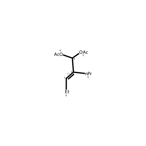 CC/C=C(\CCC)C(OC(C)=O)OC(C)=O